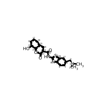 CN(C)Cc1ccc2nc(NC(=O)c3cc4cccc(O)c4oc3=O)sc2c1